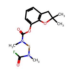 CN(SN(C)C(=O)Oc1cccc2c1OC(C)(C)C2)C(=O)F